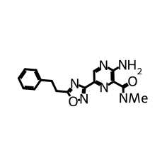 CNC(=O)c1nc(-c2noc(CCc3ccccc3)n2)cnc1N